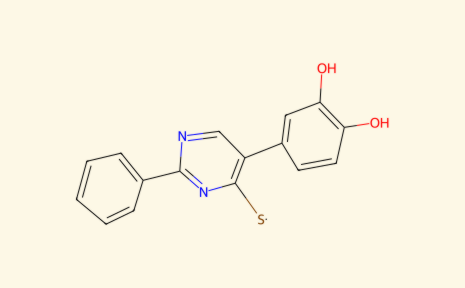 Oc1ccc(-c2cnc(-c3ccccc3)nc2[S])cc1O